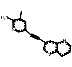 Cc1cc(C#Cc2cnc3cccnc3c2)cnc1N